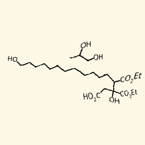 CC(O)CO.CCOC(=O)C(CCCCCCCCCCCCO)C(O)(CC(=O)O)C(=O)OCC